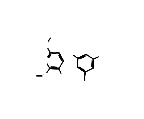 CNc1nc(OC)ccc1N.Cc1cc(O)cc(O)c1